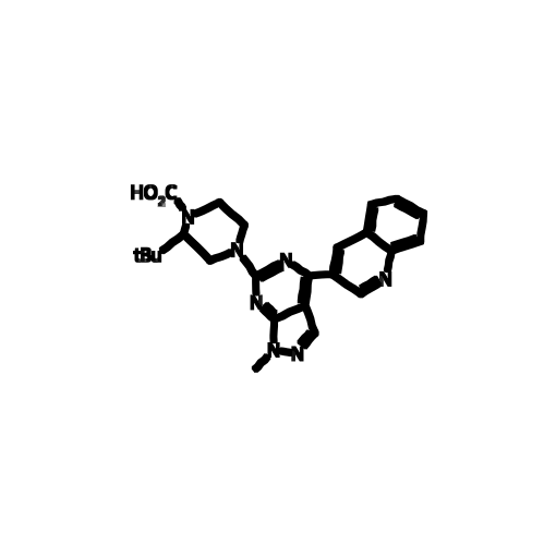 Cn1ncc2c(-c3cnc4ccccc4c3)nc(N3CCN(C(=O)O)C(C(C)(C)C)C3)nc21